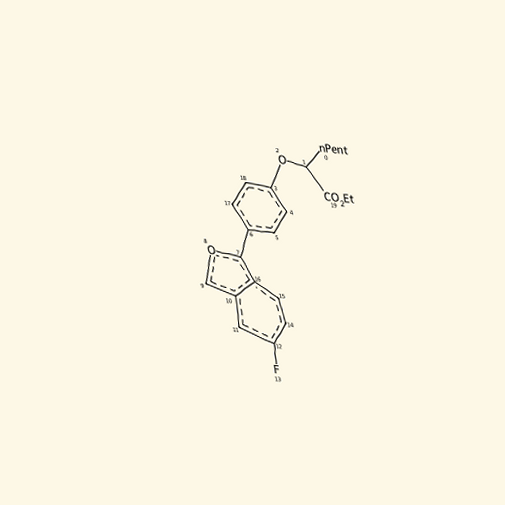 CCCCCC(Oc1ccc(-c2occ3cc(F)ccc23)cc1)C(=O)OCC